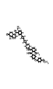 COc1ccc(Oc2ccc(C(=N)c3c(N)ncnc3NC3CCN(C4CN(C5CN(c6ccc(C)c(C(=O)N(C=O)C7CCC(=O)NC7=O)c6)C5)C4)CC3)cc2)cc1